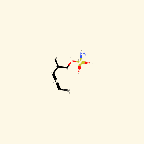 CCC=C=CC(C)COS(N)(=O)=O